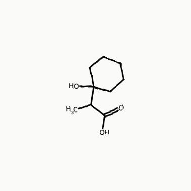 CC(C(=O)O)C1(O)CCCCC1